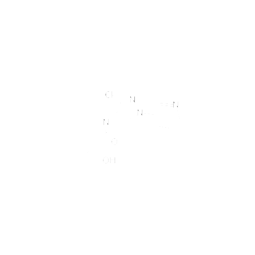 CC(O)CC(=O)N(C)c1cn(-c2cccnc2)nc1Cl